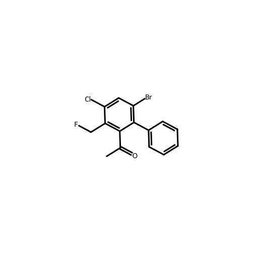 CC(=O)c1c(CF)c(Cl)cc(Br)c1-c1ccccc1